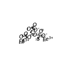 O=S([O-])([O-])=S.O=S([O-])([O-])=S.O=S([O-])([O-])=S.[Fe+3].[Fe+3]